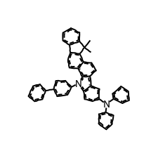 CC1(C)c2ccccc2-c2ccc3c(ccc4c5cc(N(c6ccccc6)c6ccccc6)ccc5n(-c5ccc(-c6ccccc6)cc5)c34)c21